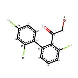 O=C(CBr)c1c(F)cccc1-c1ccc(F)cc1F